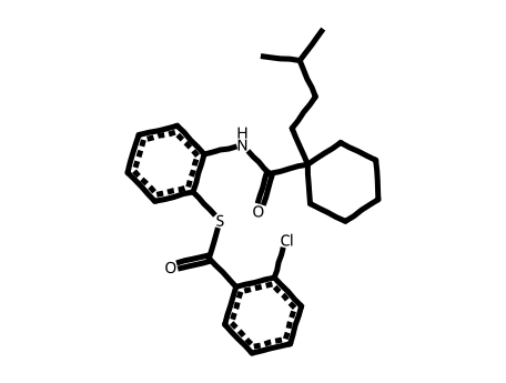 CC(C)CCC1(C(=O)Nc2ccccc2SC(=O)c2ccccc2Cl)CCCCC1